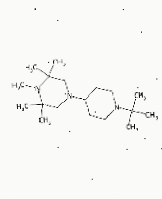 CN1C(C)(C)CN(C2CCN(C(C)(C)C)CC2)CC1(C)C